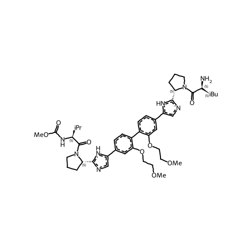 CC[C@H](C)[C@H](N)C(=O)N1CCC[C@H]1c1ncc(-c2ccc(-c3ccc(-c4cnc([C@@H]5CCCN5C(=O)[C@@H](NC(=O)OC)C(C)C)[nH]4)cc3OCCOC)c(OCCOC)c2)[nH]1